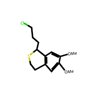 COc1cc2c(cc1OC)C(CCCCl)SCC2